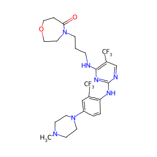 CN1CCN(c2ccc(Nc3ncc(C(F)(F)F)c(NCCCN4CCOCCC4=O)n3)c(C(F)(F)F)c2)CC1